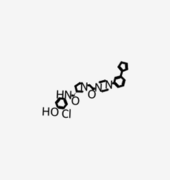 O=C(Nc1ccc(O)c(Cl)c1)[C@@H]1CCN(CC(=O)N2CCN(c3cccc(C4=CCC=C4)c3)CC2)C1